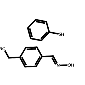 N#CCc1ccc(C=NO)cc1.Sc1ccccc1